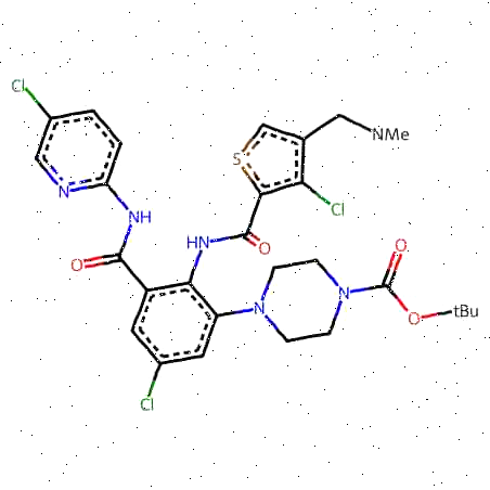 CNCc1csc(C(=O)Nc2c(C(=O)Nc3ccc(Cl)cn3)cc(Cl)cc2N2CCN(C(=O)OC(C)(C)C)CC2)c1Cl